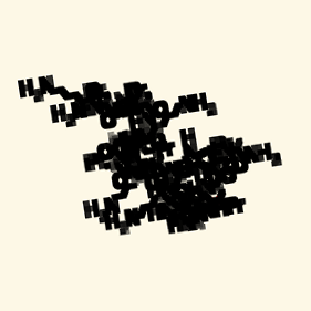 CC(C)C[C@H](NC(=O)[C@H](C)NC(=O)[C@H](CC(C)C)NC(=O)[C@H](CCCCN)NC(=O)[C@H](CC(C)C)NC(=O)[C@H](C)NC(=O)[C@H](CC(C)C)NC(=O)[C@@H](N)CCCCN)C(=O)N[C@@H](CCCCN)C(=O)N[C@@H](C)C(=O)N[C@@H](Cc1c[nH]c2ccccc12)C(=O)N[C@@H](CCCCN)C(=O)N[C@@H](C)C(=O)N[C@@H](C)C(=O)N[C@@H](CC(C)C)C(=O)N[C@@H](CCCCN)C(=O)N[C@@H](CC(C)C)C(=O)N[C@@H](C)C(N)=O